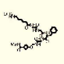 CNC(=O)[C@H]1C[C@@H](OCNC(=O)CNC(=O)[C@H](Cc2ccccc2)NC(=O)CNC(=O)CNC(=O)CCCCCNC=O)C1